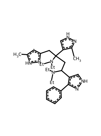 CCN(CC)C(CC(Cc1[c]c(C)[nH]n1)(c1c[nH]nc1C)N(CC)CC)c1c[nH]nc1-c1ccccc1